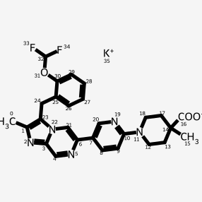 Cc1nc2cnc(-c3ccc(N4CCC(C)(C(=O)[O-])CC4)nc3)cn2c1Cc1ccccc1OC(F)F.[K+]